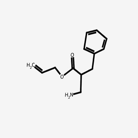 C=CCOC(=O)C(CN)Cc1ccccc1